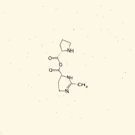 CC1=NCCC(C(=O)OC(=O)[C@@H]2CCCN2)N1